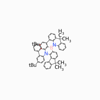 CC(C)(C)c1ccc(N2c3cc(C(C)(C)C)cc4c3B(c3ccc5c(c32)-c2ccccc2C5(C)C)N2c3ccccc3C(C)(C)c3cccc-4c32)c(-c2ccccc2)c1